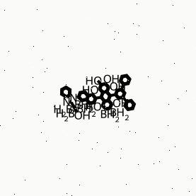 Bc1c(B)c(O)c2c(-c3ccc4cc(-n5c(C(B)(B)C(B)(B)O)nc6ccccc65)ccc4c3)c3c(O)c(O)c(O)c(O)c3c(-c3cc(-c4ccccc4)cc(-c4ccccc4)c3)c2c1O